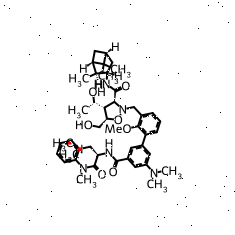 COc1c(CN2O[C@@H](CO)[C@H]([C@H](C)O)[C@H]2C(=O)N[C@H]2C[C@H]3C[C@@H]([C@@H]2C)C3(C)C)cccc1-c1cc(C(=O)N[C@H](CN(C)C)C(=O)N(C)c2ccccc2)cc(N(C)C)c1